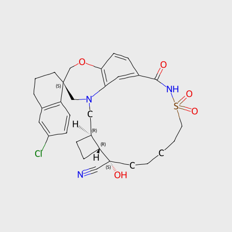 N#C[C@]1(O)CCCCCS(=O)(=O)NC(=O)c2ccc3c(c2)N(C[C@@H]2CC[C@H]21)C[C@@]1(CCCc2cc(Cl)ccc21)CO3